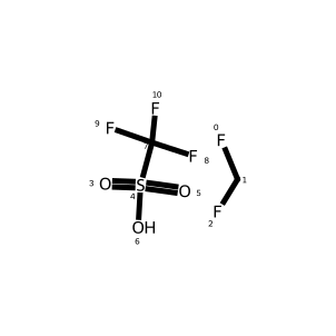 FCF.O=S(=O)(O)C(F)(F)F